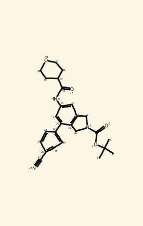 CC(C)(C)OC(=O)N1Cc2cc(NC(=O)C3CCOCC3)cc(-c3ccc(C#N)cc3)c2C1